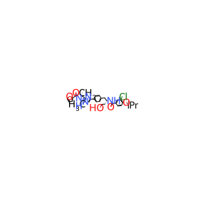 CC(C)Oc1ccc(C(=O)N[C@H](CCO)Cc2ccc(-c3cn(C)c([C@@H](C)NC(=O)c4ccco4)n3)cc2)cc1Cl